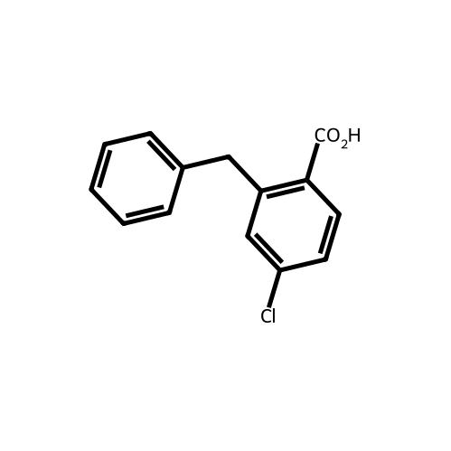 O=C(O)c1ccc(Cl)cc1Cc1ccccc1